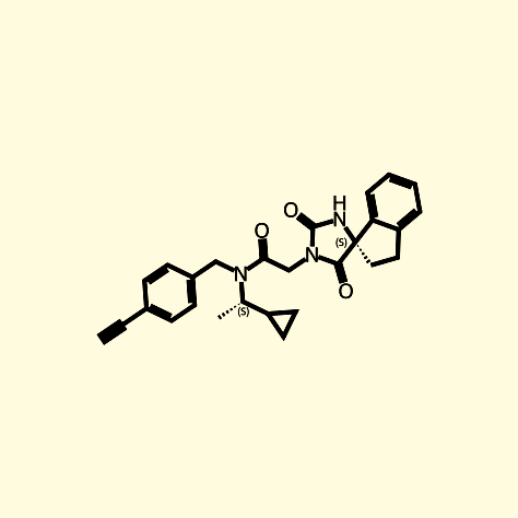 C#Cc1ccc(CN(C(=O)CN2C(=O)N[C@]3(CCc4ccccc43)C2=O)[C@@H](C)C2CC2)cc1